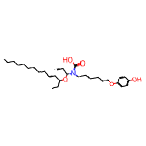 [CH2]CC(OC(CC)CCCCCCCCCCC)N(CCCCCCOc1ccc(O)cc1)C(=O)O